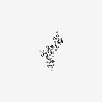 CCOC(=O)c1nnnn1CC(=O)N[C@H](C)[C@H]1C(=O)N2C(C(=O)O)=C(SC3CN[C@H](C(=O)N(C)C)C3)[C@H](C)[C@H]12